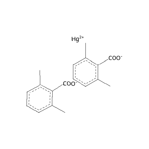 Cc1cccc(C)c1C(=O)[O-].Cc1cccc(C)c1C(=O)[O-].[Hg+2]